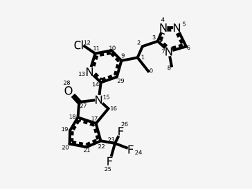 CC(Cc1nncn1C)c1cc(Cl)nc(N2Cc3c(cccc3C(F)(F)F)C2=O)c1